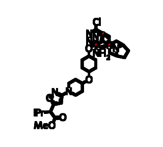 COC(=O)C(c1cc(N2CCC(O[C@H]3CC[C@@H](Oc4cc(N5C6CCC5CN(c5cc(Cl)nnc5N)C6)ccn4)CC3)CC2)no1)C(C)C